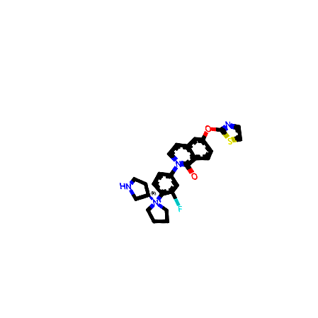 O=c1c2ccc(Oc3nccs3)cc2ccn1-c1ccc([N+]2([C@@H]3CCNC3)CCCC2)c(F)c1